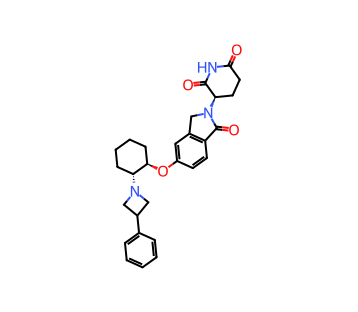 O=C1CC[C@@H](N2Cc3cc(O[C@@H]4CCCC[C@H]4N4CC(c5ccccc5)C4)ccc3C2=O)C(=O)N1